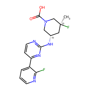 C[C@]1(F)C[C@H](Nc2nccc(-c3cccnc3F)n2)CN(C(=O)O)C1